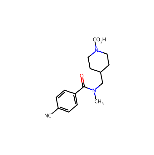 CN(CC1CCN(C(=O)O)CC1)C(=O)c1ccc(C#N)cc1